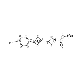 CC(C)(C)OC(=O)N1CC(C23CC(c4ccc(F)cc4)(C2)C3)C1